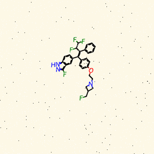 FCC1CN(CCOc2ccc(C(=C(c3ccccc3)C(F)C(F)F)c3ccc4[nH]nc(F)c4c3)cc2)C1